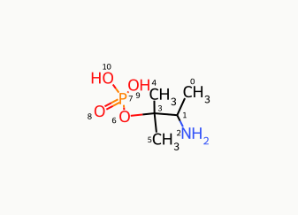 CC(N)C(C)(C)OP(=O)(O)O